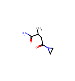 CC(CC(=O)N1CC1)C(N)=O